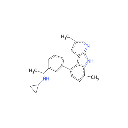 Cc1cnc2[nH]c3c(C)ccc(-c4cccc(C(C)NC5CC5)c4)c3c2c1